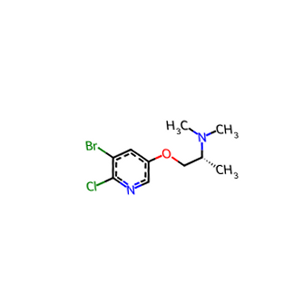 C[C@H](COc1cnc(Cl)c(Br)c1)N(C)C